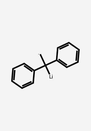 [Li][C]([CH2])(c1ccccc1)c1ccccc1